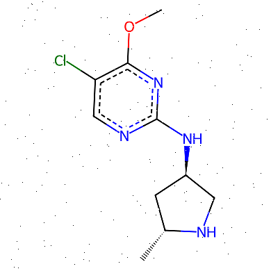 COc1nc(N[C@H]2CN[C@H](C)C2)ncc1Cl